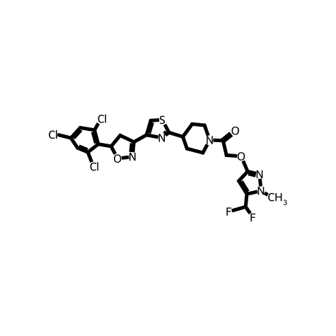 Cn1nc(OCC(=O)N2CCC(c3nc(C4=NOC(c5c(Cl)cc(Cl)cc5Cl)C4)cs3)CC2)cc1C(F)F